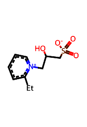 CCc1cccc[n+]1CC(O)CS(=O)(=O)[O-]